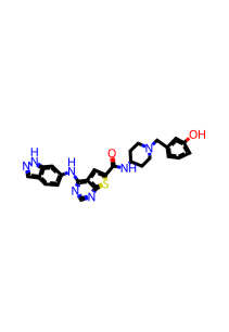 O=C(NC1CCN(Cc2cccc(O)c2)CC1)c1cc2c(Nc3ccc4cn[nH]c4c3)ncnc2s1